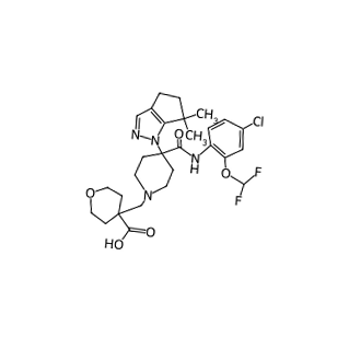 CC1(C)CCc2cnn(C3(C(=O)Nc4ccc(Cl)cc4OC(F)F)CCN(CC4(C(=O)O)CCOCC4)CC3)c21